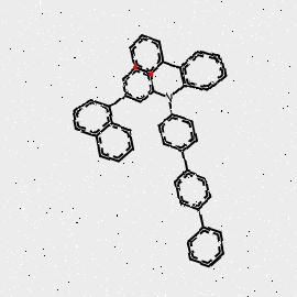 c1ccc(-c2ccc(-c3ccc(N(c4cccc(-c5cccc6ccccc56)c4)c4ccccc4-c4ccccc4)cc3)cc2)cc1